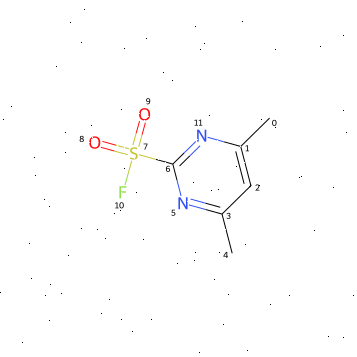 Cc1cc(C)nc(S(=O)(=O)F)n1